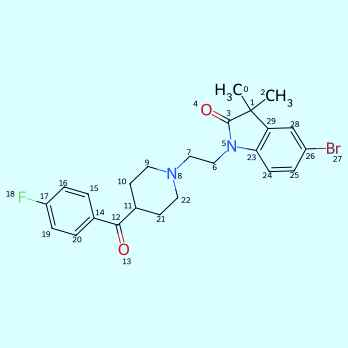 CC1(C)C(=O)N(CCN2CCC(C(=O)c3ccc(F)cc3)CC2)c2ccc(Br)cc21